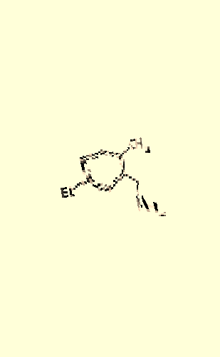 CCc1ccc(C)c(CN)c1